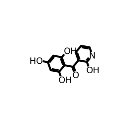 O=C(c1cccnc1O)c1c(O)cc(O)cc1O